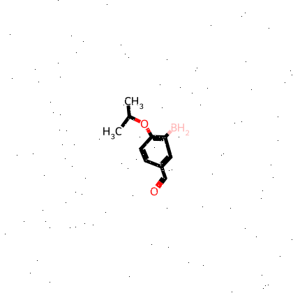 Bc1cc(C=O)ccc1OC(C)C